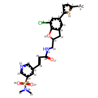 CC(=O)c1ccc(-c2cc(Cl)c3c(c2)CC(CNC(=O)/C=C/c2cncc(S(=O)(=O)N(C)C)c2)O3)s1